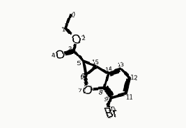 CCOC(=O)C1C2Oc3c(Br)cccc3C21